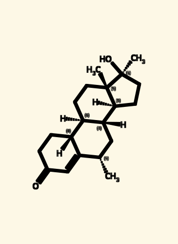 C[C@H]1C[C@@H]2[C@H](CC[C@@]3(C)[C@H]2CC[C@]3(C)O)[C@H]2CCC(=O)C=C12